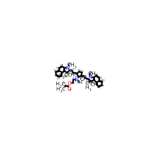 C=C(C)C(=O)OCCN(C(C)=O)C1/C(=C/C=C2/N(C)c3ccc4ccccc4c3C2(C)C)CCC1(C)/C=C/C1N(C)c2ccc3ccccc3c2C1(C)C